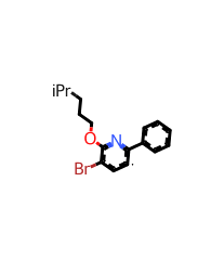 CC(C)CCCOc1nc(-c2ccccc2)[c]cc1Br